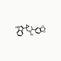 CC(=O)N(CC1(c2c[nH]c3ccccc23)CC1)C(C)c1ccc2c(c1)OCO2